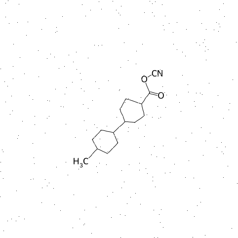 CC1CCC(C2CCC(C(=O)OC#N)CC2)CC1